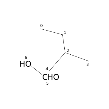 CCC(C)C.O=CO